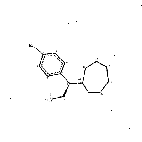 NC[C@@H](c1ccc(Br)cc1)C1CCCCCC1